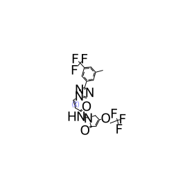 Cc1cc(-c2ncn(/C=C\C(=O)NN3CC(OCC(F)(F)F)=CC3=O)n2)cc(C(F)(F)F)c1